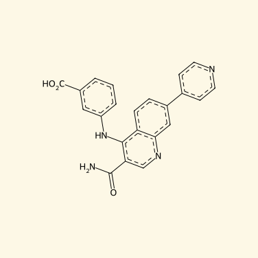 NC(=O)c1cnc2cc(-c3ccncc3)ccc2c1Nc1cccc(C(=O)O)c1